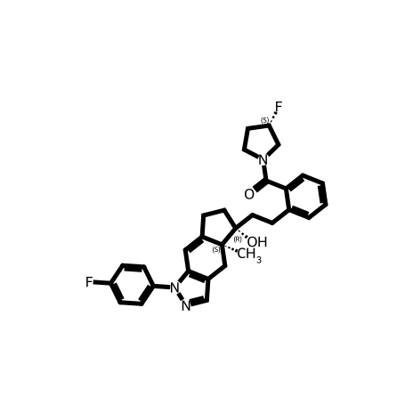 C[C@]12Cc3cnn(-c4ccc(F)cc4)c3C=C1CC[C@@]2(O)CCc1ccccc1C(=O)N1CC[C@H](F)C1